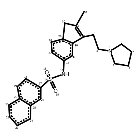 CC1=C(CCN2CCCC2)c2cc(NS(=O)(=O)c3ccc4ccccc4c3)ccc2C1